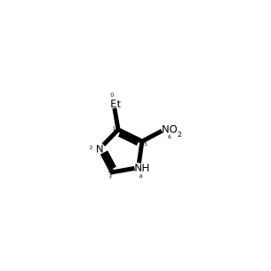 CCc1n[c][nH]c1[N+](=O)[O-]